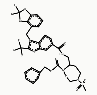 CS(=O)(=O)N1CCC(CNC(=O)c2ccc3c(c2)nc(C(F)(F)F)n3Cc2cccc3c2OC(F)(F)O3)N(C(=O)OCc2ccccc2)CC1